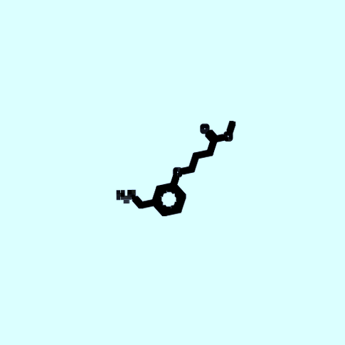 COC(=O)CCCOc1cccc(CN)c1